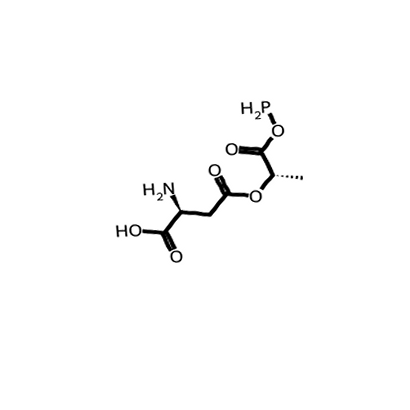 C[C@H](OC(=O)C[C@H](N)C(=O)O)C(=O)OP